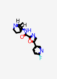 C[C@H]1[C@H](NC(=O)c2ncc(-c3ccc(F)nc3)o2)C2CCN1CC2